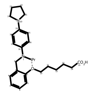 CC(C)N(Cc1ccccc1OCCCCCC(=O)O)c1ccc(N2CCCC2)cc1